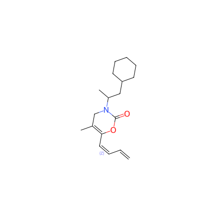 C=C/C=C\C1=C(C)CN(C(C)CC2CCCCC2)C(=O)O1